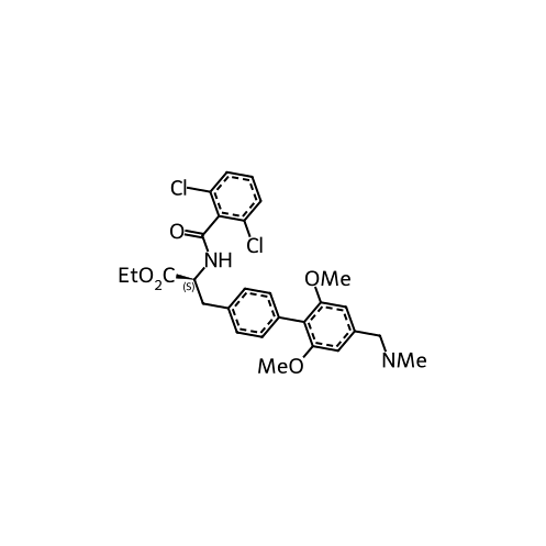 CCOC(=O)[C@H](Cc1ccc(-c2c(OC)cc(CNC)cc2OC)cc1)NC(=O)c1c(Cl)cccc1Cl